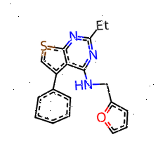 CCc1nc(NCc2ccco2)c2c(-c3ccccc3)csc2n1